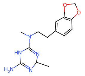 CC1N=C(N)NC(N(C)CCc2ccc3c(c2)OCO3)=N1